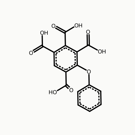 O=C(O)c1cc(C(=O)O)c(C(=O)O)c(C(=O)O)c1Oc1ccccc1